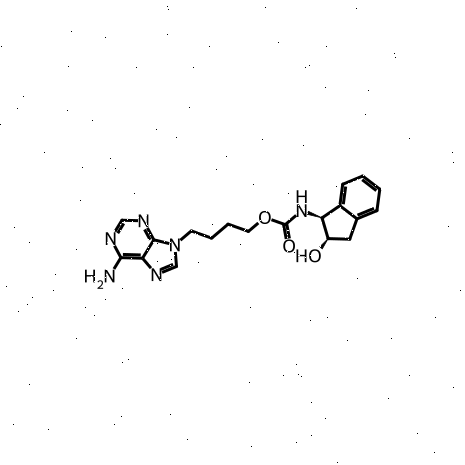 Nc1ncnc2c1ncn2CCCCOC(=O)N[C@H]1c2ccccc2C[C@H]1O